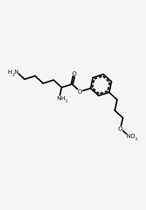 NCCCCC(N)C(=O)Oc1cccc(CCCO[N+](=O)[O-])c1